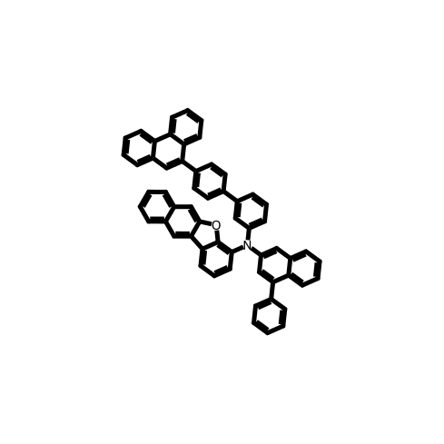 c1ccc(-c2cc(N(c3cccc(-c4ccc(-c5cc6ccccc6c6ccccc56)cc4)c3)c3cccc4c3oc3cc5ccccc5cc34)cc3ccccc23)cc1